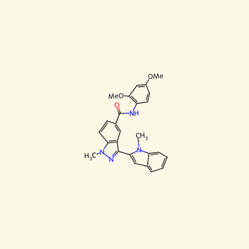 COc1ccc(NC(=O)c2ccc3c(c2)c(-c2cc4ccccc4n2C)nn3C)c(OC)c1